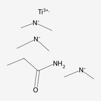 CCC(N)=O.C[N-]C.C[N-]C.C[N-]C.[Ti+3]